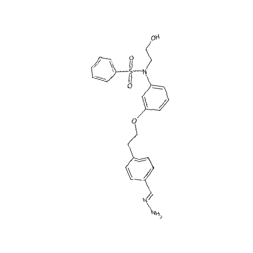 NN=Cc1ccc(CCOc2cccc(N(CCO)S(=O)(=O)c3ccccc3)c2)cc1